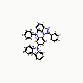 c1ccc(-c2nc3cccc4c3n2-c2ccc(-n3c5ccccc5c5ccccc53)cc2N4c2ccccc2)cc1